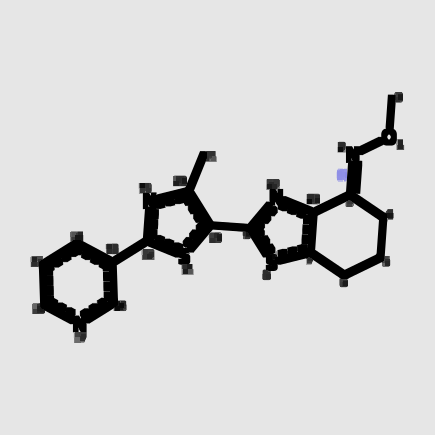 CO/N=C1\CCCc2sc(-c3sc(-c4cccnc4)nc3C)nc21